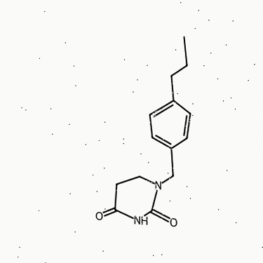 CCCc1ccc(CN2CCC(=O)NC2=O)cc1